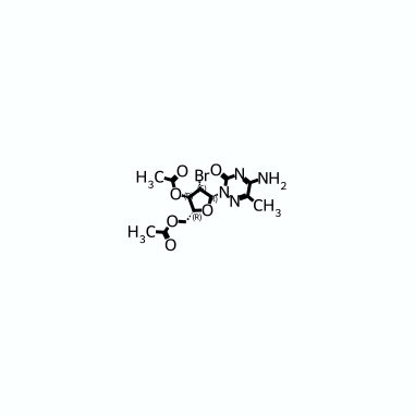 CC(=O)OC[C@H]1O[C@@H](n2nc(C)c(N)nc2=O)[C@@H](Br)[C@@H]1OC(C)=O